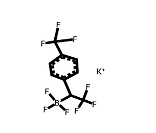 F[B-](F)(F)C(c1ccc(C(F)(F)F)cc1)C(F)(F)F.[K+]